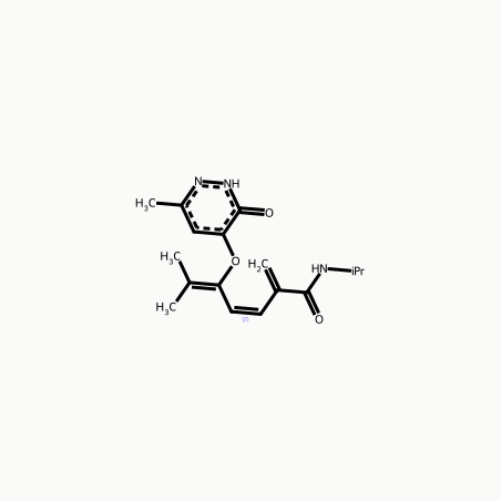 C=C(/C=C\C(Oc1cc(C)n[nH]c1=O)=C(C)C)C(=O)NC(C)C